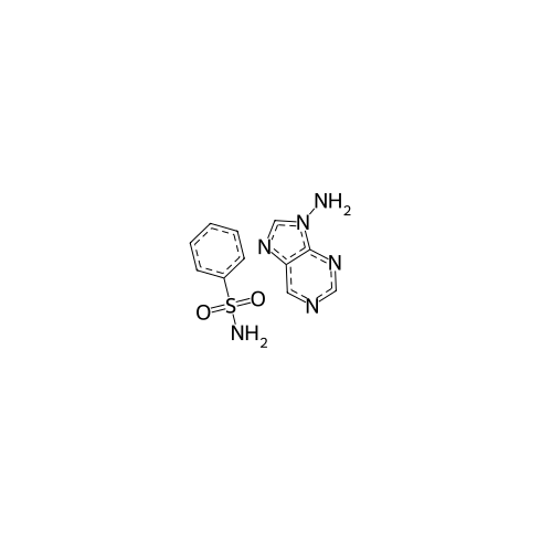 NS(=O)(=O)c1ccccc1.Nn1cnc2cncnc21